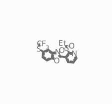 CCS(=O)(=O)c1ncccc1-c1nc2cc(SC(F)(F)F)ccc2o1